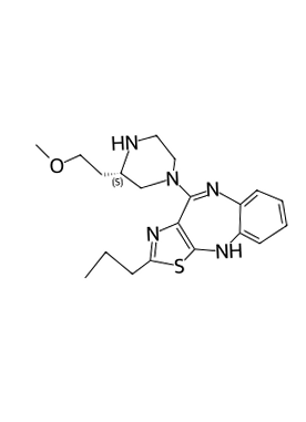 CCCc1nc2c(s1)Nc1ccccc1N=C2N1CCN[C@@H](CCOC)C1